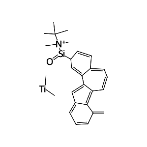 C=c1cccc2cc3c4c(cccc-3c12)C=CC([Si](=O)[N+](C)(C)C(C)(C)C)C=4.[CH3][Ti][CH3]